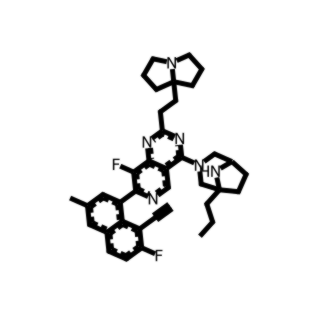 C#Cc1c(F)ccc2cc(C)cc(-c3ncc4c(N5CC6CCC(CCC)(C5)N6)nc(CCC56CCCN5CCC6)nc4c3F)c12